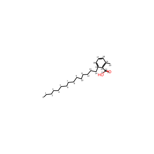 CCCCCCCCCCCCCCCc1cccc(C)c1C(=O)O